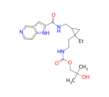 CCC1(CCNC(=O)OCC(C)(C)O)CC1CNC(=O)c1cc2cnccc2[nH]1